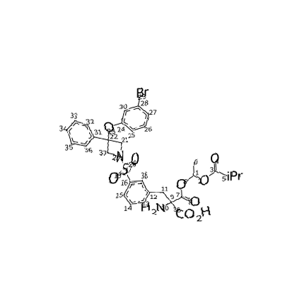 CC(OC(=O)C(C)C)OC(=O)C(N)(Cc1cccc(S(=O)(=O)N2CC(Oc3cccc(Br)c3)(c3ccccc3)C2)c1)C(=O)O